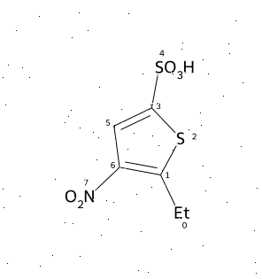 CCc1sc(S(=O)(=O)O)cc1[N+](=O)[O-]